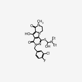 CCN(CC)C(O)Sc1nn(Cc2ccc(F)c(Cl)c2)c(=O)c2c(O)c3n(c12)CCN(C)C3=O